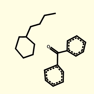 CCCCC1CCCCC1.O=C(c1ccccc1)c1ccccc1